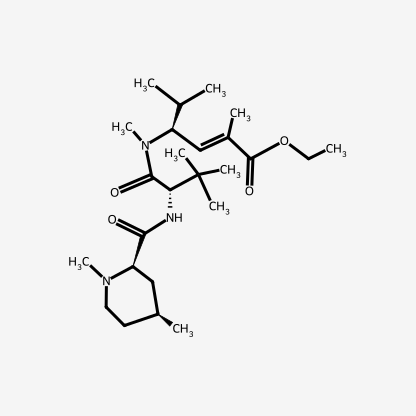 CCOC(=O)/C(C)=C/[C@H](C(C)C)N(C)C(=O)[C@@H](NC(=O)[C@H]1C[C@@H](C)CCN1C)C(C)(C)C